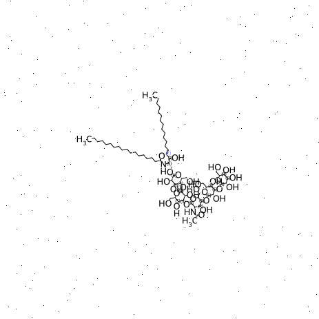 CCCCCCCCCCCCC/C=C/[C@@H](O)[C@H](CO[C@@H]1OC(CO)[C@@H](O[C@@H]2OC(CO)[C@H](O)[C@H](O[C@@H]3OC(CO)[C@@H](O[C@@H]4OC(CO)[C@H](O)[C@H](O[C@H]5OC(CO)[C@H](O)[C@H](O)C5O)C4O)[C@H](O)C3NC(C)=O)C2O)[C@H](O)C1O)NC(=O)CCCCCCCCCCCCCCCCC